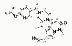 CCC1CN(C(C)c2ccc(OC(C)C)nc2)CCN1c1cc(=O)n(C)n2cc(CC#N)nc12